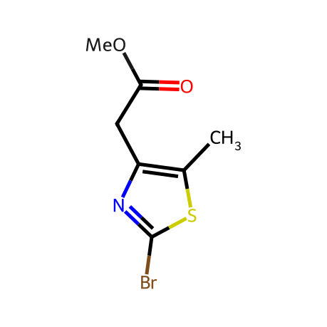 COC(=O)Cc1nc(Br)sc1C